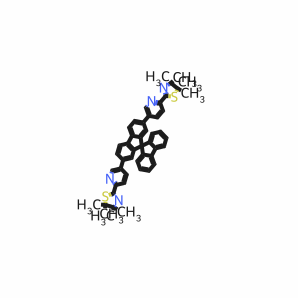 CC1(C)N=C(c2ccc(-c3ccc4c(c3)C3(c5ccccc5-c5ccccc53)c3cc(-c5ccc(C6=NC(C)(C)C(C)(C)S6)nc5)ccc3-4)cn2)SC1(C)C